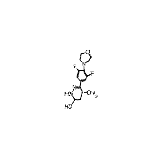 C[C@H]1CC(O)NN=C1c1cc(F)c(N2CCOCC2)c(F)c1